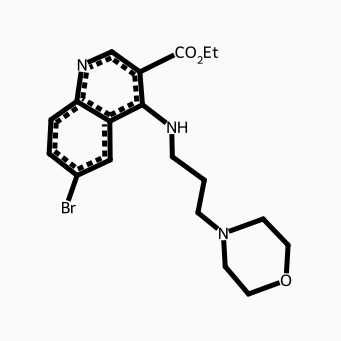 CCOC(=O)c1cnc2ccc(Br)cc2c1NCCCN1CCOCC1